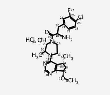 CO[C@@H]1C[C@@H](C)c2c1ncnc2N1CCN(C(=O)C(N)Cc2ccc(Cl)c(F)c2)CC1C.Cl.Cl